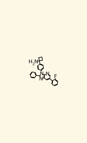 NC1(c2ccc(-n3c(-c4ccccc4)nc4cc(-c5ccccc5F)cnc43)cc2)CCC1